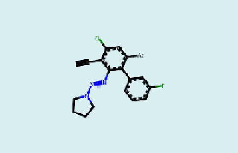 C#Cc1c(Cl)cc(C(C)=O)c(-c2cccc(F)c2)c1/N=N/N1CCCC1